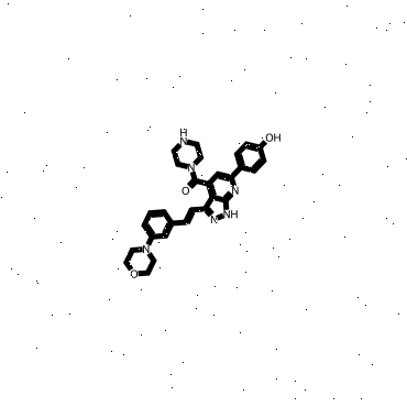 O=C(c1cc(-c2ccc(O)cc2)nc2[nH]nc(C=Cc3cccc(N4CCOCC4)c3)c12)N1CCNCC1